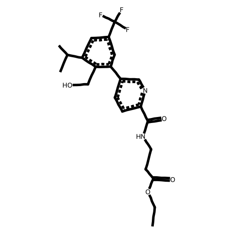 CCOC(=O)CCNC(=O)c1ccc(-c2cc(C(F)(F)F)cc(C(C)C)c2CO)cn1